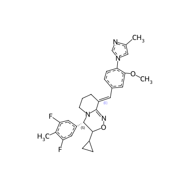 COc1cc(/C=C2\CCCN3C2=NOC(C2CC2)[C@@H]3c2cc(F)c(C)c(F)c2)ccc1-n1cnc(C)c1